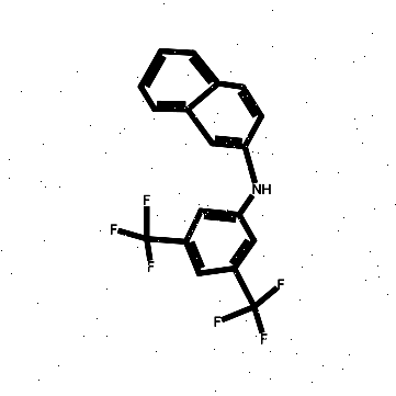 FC(F)(F)c1cc(Nc2ccc3ccccc3c2)cc(C(F)(F)F)c1